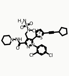 CN(Cc1c(C(=O)NN2CCCCC2)nn(-c2ccc(Cl)cc2Cl)c1-c1ccc(C#CC2CCCC2)s1)S(N)(=O)=O